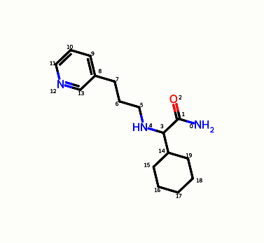 NC(=O)C(NCCCc1cccnc1)C1CCCCC1